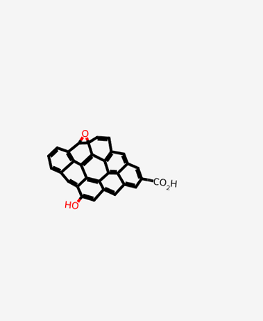 O=C(O)c1cc2cc3c4c5c6c7c(cccc7cc7c(O)cc8cc(c1)c2c4c8c76)C1OC51C=C3